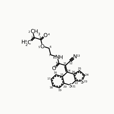 C=C(C)C(=O)OCCNC(=O)/C(C#N)=C1\c2ccccc2Sc2sccc21